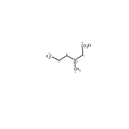 CCOC(=O)C[SiH](C)CCC(F)(F)F